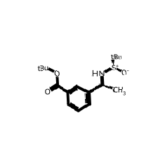 C[C@H](N[S@+]([O-])C(C)(C)C)c1cccc(C(=O)OC(C)(C)C)c1